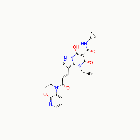 CC(C)Cn1c(=O)c(C(=O)NC2CC2)c(O)n2ncc(C=CC(=O)N3CCOc4ncccc43)c12